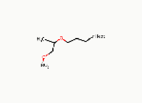 CCCCCCCCCCOC(C)CO[N+](=O)[O-]